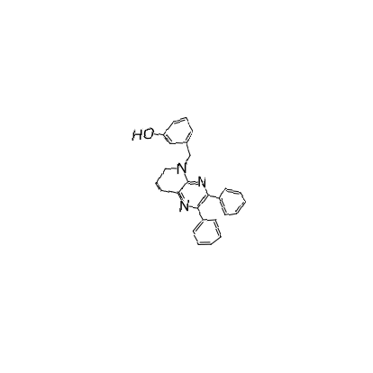 Oc1cccc(CN2CCCc3nc(-c4ccccc4)c(-c4ccccc4)nc32)c1